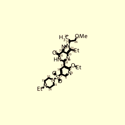 CCOc1ncc(S(=O)(=O)N2CCN(CC)CC2)cc1-c1nc2c(CC)n(C(C)COC)nc2c(=O)[nH]1